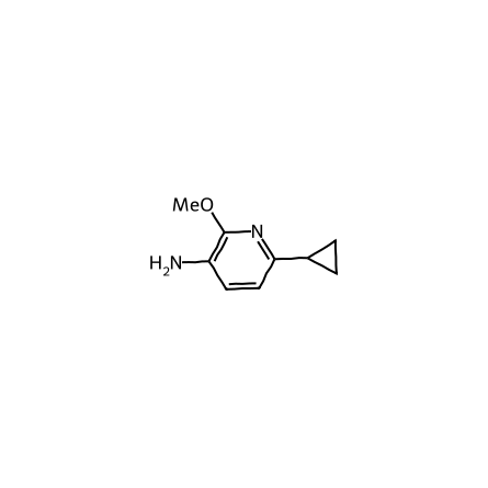 COc1nc(C2CC2)ccc1N